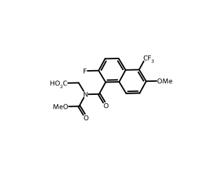 COC(=O)N(CC(=O)O)C(=O)c1c(F)ccc2c(C(F)(F)F)c(OC)ccc12